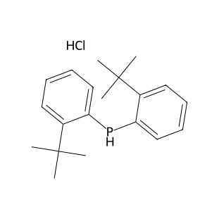 CC(C)(C)c1ccccc1Pc1ccccc1C(C)(C)C.Cl